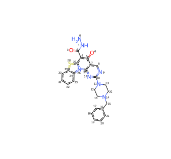 NNC(=O)c1c(=O)c2cnc(N3CCN(Cc4ccccc4)CC3)nc2n2c1sc1ccccc12